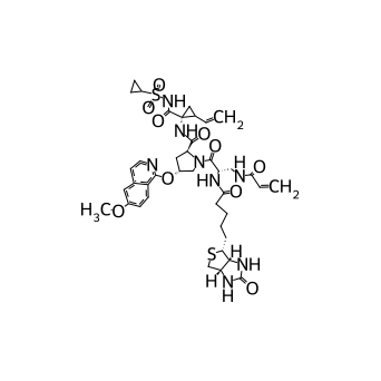 C=CC(=O)NC[C@H](NC(=O)CCCC[C@H]1SC[C@H]2NC(=O)N[C@H]21)C(=O)N1C[C@H](Oc2nccc3cc(OC)ccc23)C[C@H]1C(=O)N[C@]1(C(=O)NS(=O)(=O)C2CC2)CC1C=C